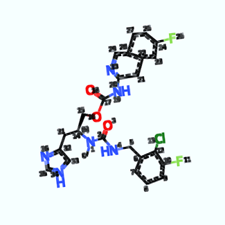 CN(C(=O)NCc1cccc(F)c1Cl)[C@H](COC(=O)Nc1cc2cc(F)ccc2cn1)Cc1c[nH]cn1